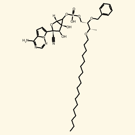 CCCCCCCCCCCCCCCCCCO[C@@H](C)[C@H](COP(=O)(O)OC1[C@H]2O[C@@](C#N)(c3ccc4c(N)ncnn34)[C@H](O)[C@@]12O)OCc1ccccc1